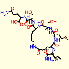 CC[C@H](C)[C@H](NC1CCC(=O)NCCCCC(C(=O)N[C@@H](CO)C(=O)NC(CCC(N)=O)C(=O)O)NC(=O)[C@H](CO)NC(=O)[C@H](CCSC)NC1=O)C(N)=O